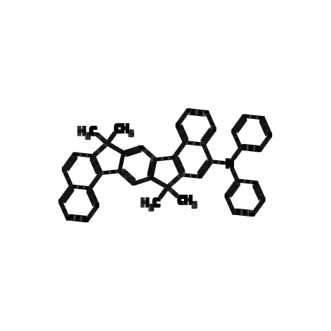 CC1(C)c2cc3c(cc2-c2c1ccc1ccccc21)C(C)(C)c1cc(N(c2ccccc2)c2ccccc2)c2ccccc2c1-3